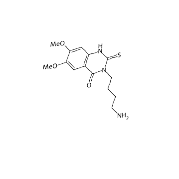 COc1cc2[nH]c(=S)n(CCCCN)c(=O)c2cc1OC